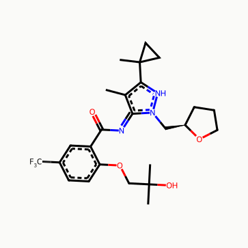 Cc1c(C2(C)CC2)[nH]n(C[C@H]2CCCO2)/c1=N/C(=O)c1cc(C(F)(F)F)ccc1OCC(C)(C)O